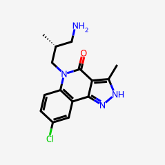 Cc1[nH]nc2c1c(=O)n(C[C@H](C)CN)c1ccc(Cl)cc21